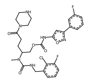 CN(C(=O)NCc1cccc(F)c1Cl)C(CCC(=O)N1CCNCC1)COC(=O)Nc1cc(-c2cccc(F)c2)no1